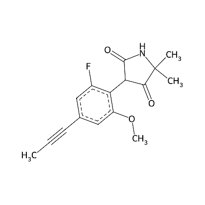 CC#Cc1cc(F)c(C2C(=O)NC(C)(C)C2=O)c(OC)c1